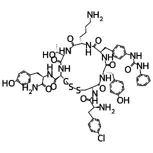 C[C@@H](O)[C@@H]1NC(=O)[C@H](CCCCN)NC(=O)[C@@H](Cc2ccc(NC(=O)Nc3ccccc3)cc2)NC(=O)[C@H](Cc2ccc(O)cc2)NC(=O)[C@H](NC(=O)[C@@H](N)Cc2ccc(Cl)cc2)CSSC[C@@H](C(=O)N[C@H](Cc2ccc(O)cc2)C(N)=O)NC1=O